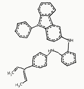 C=C/C(=C\C)c1ccc(Nc2ccccc2Nc2ccc3c(c2)c2ccccc2n3-c2ccccc2)cc1